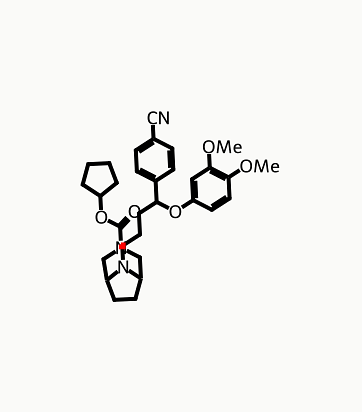 COc1ccc(OC(CCCN2C3CCC2CN(C(=O)OC2CCCC2)C3)c2ccc(C#N)cc2)cc1OC